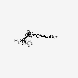 CCCCCCCCCCCCCCOCCOP(=O)([O-])OCC[N+](C)(C)C